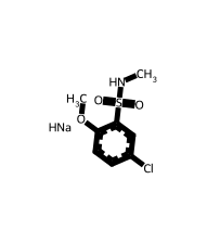 CNS(=O)(=O)c1cc(Cl)ccc1OC.[NaH]